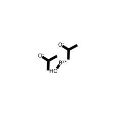 CC(C)[O-].CC(C)[O-].[B+2]O